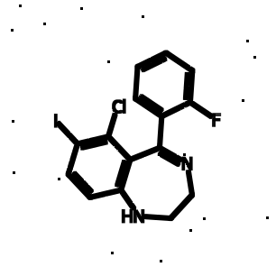 Fc1ccccc1C1=NCCNc2ccc(I)c(Cl)c21